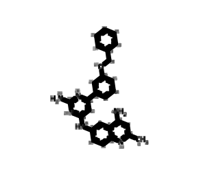 Cc1cc(N)c2cc(Nc3cc(-c4cccc(OCc5ccccc5)c4)nc(N)n3)ccc2n1